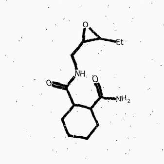 CCC1OC1CNC(=O)C1CCCCC1C(N)=O